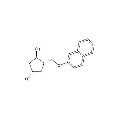 O[C@@H]1C[C@@H](Cl)C[C@H]1COc1ccc2ccccc2c1